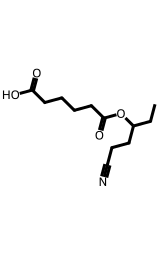 CCC(CCC#N)OC(=O)CCCCC(=O)O